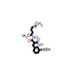 C=N/C=C\C=C(/C)NC(=O)c1cc2cccc(NC)c2[nH]c1=O